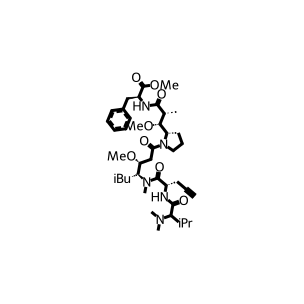 C#CC[C@H](NC(=O)C(C(C)C)N(C)C)C(=O)N(C)[C@@H]([C@@H](C)CC)[C@@H](CC(=O)N1CCC[C@H]1[C@H](OC)[C@@H](C)C(=O)N[C@@H](Cc1ccccc1)C(=O)OC)OC